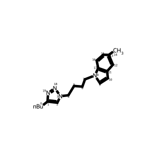 CCCCc1cn(CCCCn2ccc3cc(C)ccc32)nn1